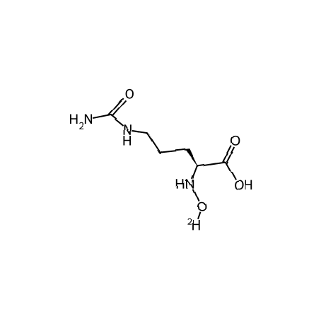 [2H]ON[C@@H](CCCNC(N)=O)C(=O)O